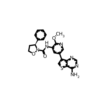 COc1ncc(-c2csc3c(N)ncnc23)cc1NC(=O)N1OCC[C@H]1c1ccccc1